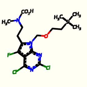 CN(CCc1c(F)c2c(Cl)nc(Cl)nc2n1COCC[Si](C)(C)C)C(=O)O